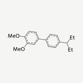 CCC(CC)c1ccc(-c2ccc(OC)c(OC)c2)cc1